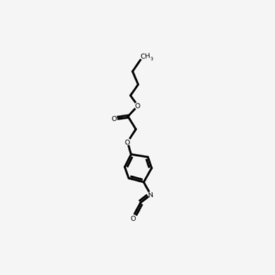 CCCCOC(=O)COc1ccc(N=C=O)cc1